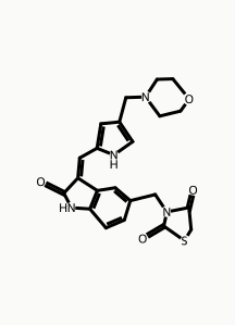 O=C1Nc2ccc(CN3C(=O)CSC3=O)cc2/C1=C\c1cc(CN2CCOCC2)c[nH]1